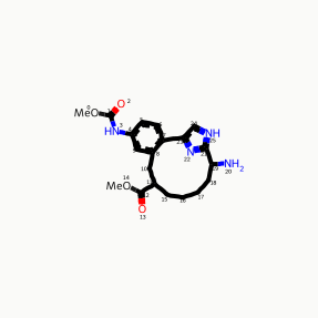 COC(=O)Nc1ccc2c(c1)CC(C(=O)OC)CCCCC(N)c1nc-2c[nH]1